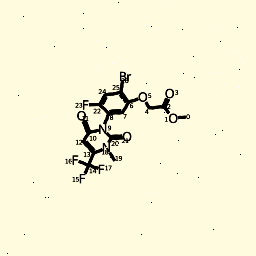 COC(=O)COc1cc(-n2c(=O)cc(C(F)(F)F)n(C)c2=O)c(F)cc1Br